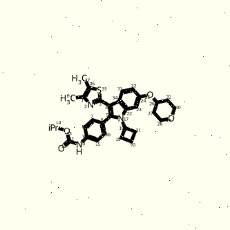 Cc1nc(-c2c(-c3ccc(NC(=O)OC(C)C)cc3)n(C3CCC3)c3cc(OC4CCOCC4)ccc23)sc1C